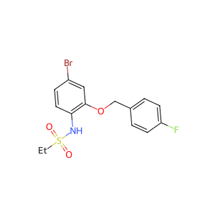 CCS(=O)(=O)Nc1ccc(Br)cc1OCc1ccc(F)cc1